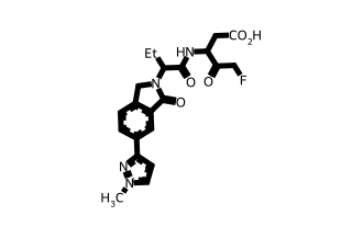 CCC(C(=O)NC(CC(=O)O)C(=O)CF)N1Cc2ccc(-c3ccn(C)n3)cc2C1=O